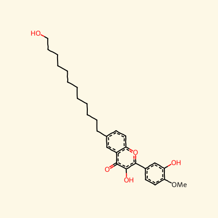 COc1ccc(-c2oc3ccc(CCCCCCCCCCCCO)cc3c(=O)c2O)cc1O